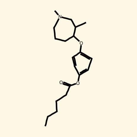 CCCCCC(=O)Oc1ccc(OC2CCCN(C)CC2C)cc1